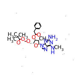 CNc1nc(N)nc2c1ncn2[C@@H]1O[C@H](COCOC(=O)C(C)(C)C)[C@@H](OC(=O)Cc2ccccc2)[C@@H]1C